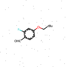 CC(C)(C)COc1ccc(C=O)c(F)c1